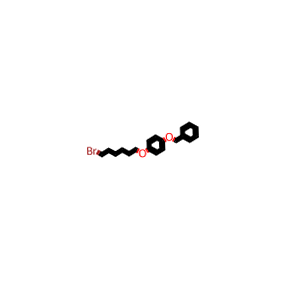 BrCCCCCCOc1ccc(OCc2ccccc2)cc1